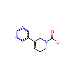 O=C(O)N1CCC=C(c2cncnc2)C1